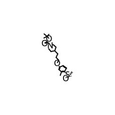 Cc1cc(OCCCC2CCN(C(=O)OC(C)(C)C)CC2)ccc1[S+](C)[O-]